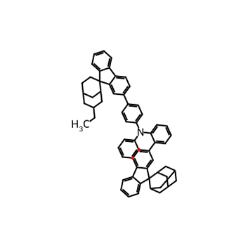 CCC1CC2CCC3(c4ccccc4-c4ccc(-c5ccc(N(c6ccccc6)c6ccccc6-c6ccc7c(c6)C6(c8ccccc8-7)C7CC8CC(C7)CC6C8)cc5)cc43)C(C1)C2